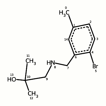 Cc1ccc(Br)c(CNCC(C)(C)O)c1